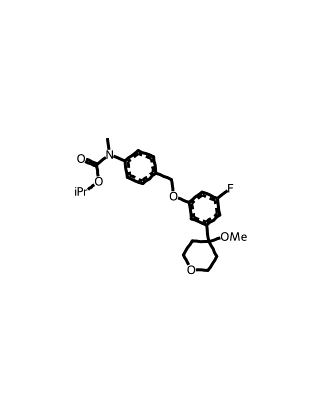 COC1(c2cc(F)cc(OCc3ccc(N(C)C(=O)OC(C)C)cc3)c2)CCOCC1